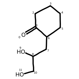 O=C1CCCCC1CC(O)CO